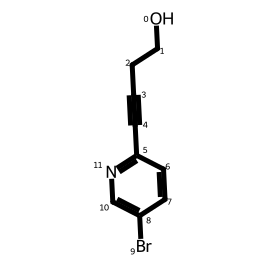 OCCC#Cc1ccc(Br)cn1